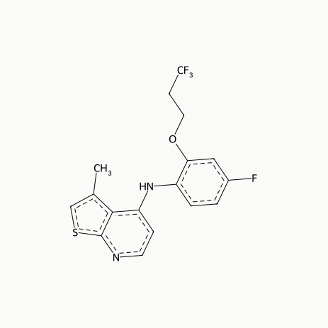 Cc1csc2nccc(Nc3ccc(F)cc3OCCC(F)(F)F)c12